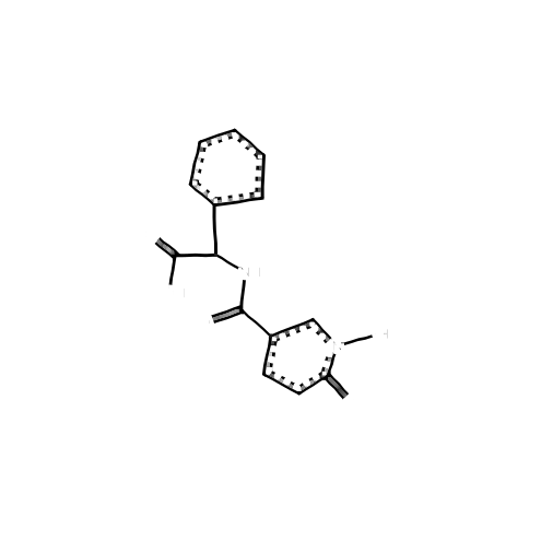 O=C(NC(C(=O)O)c1ccccc1)c1ccc(=O)n(O)c1